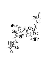 C=CC(=O)NCCOC(=O)C(CC(C)C)C1=CC(=O)C(C(CC(C)C)C(=O)OCCNC(=O)C=C)=CC1=O